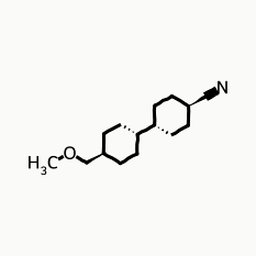 COC[C@H]1CC[C@H]([C@H]2CC[C@H](C#N)CC2)CC1